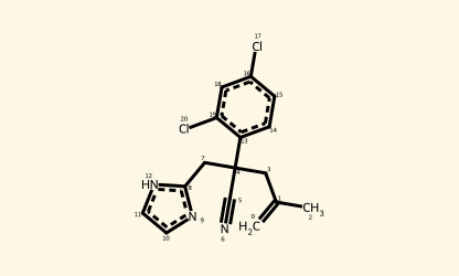 C=C(C)CC(C#N)(Cc1ncc[nH]1)c1ccc(Cl)cc1Cl